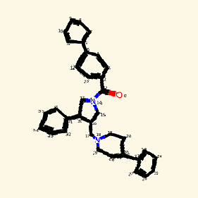 O=C(c1ccc(-c2ccccc2)cc1)N1CC(CN2CCC(c3ccccc3)CC2)C(c2ccccc2)C1